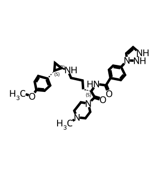 COc1ccc([C@@H]2C[C@H]2NCCC[C@H](NC(=O)c2ccc(N3C=CNN3)cc2)C(=O)N2CCN(C)CC2)cc1